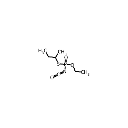 CCOP(=O)(N=C=O)SC(C)CC